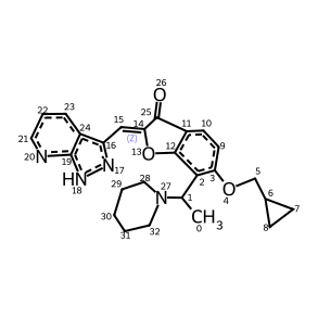 CC(c1c(OCC2CC2)ccc2c1O/C(=C\c1n[nH]c3ncccc13)C2=O)N1CCCCC1